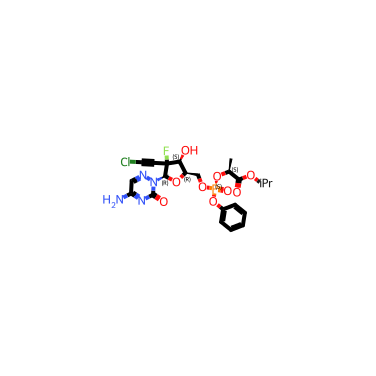 CC(C)OC(=O)[C@H](C)O[P@](=O)(OC[C@H]1O[C@@H](n2ncc(N)nc2=O)C(F)(C#CCl)[C@H]1O)Oc1ccccc1